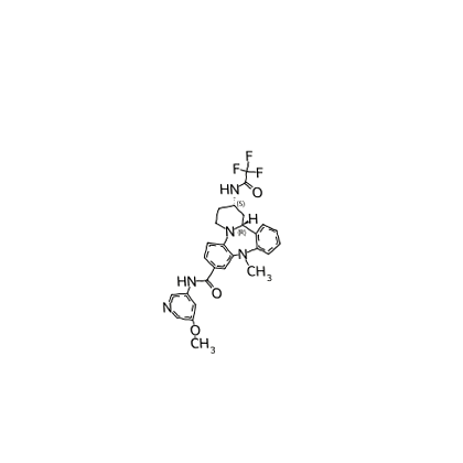 COc1cncc(NC(=O)c2ccc3c(c2)N(C)c2ccccc2[C@H]2C[C@@H](NC(=O)C(F)(F)F)CCN32)c1